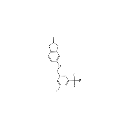 CC1Cc2ccc(OCc3cc(F)cc(C(F)(F)F)c3)cc2C1